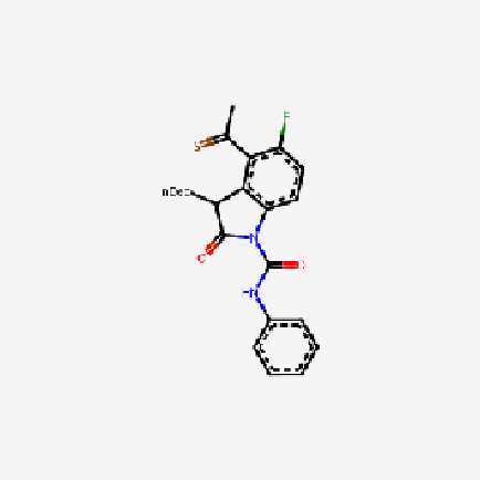 CCCCCCCCCCC1C(=O)N(C(=O)Nc2ccccc2)c2ccc(F)c(C(C)=S)c21